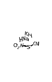 N#CS[N+](=O)[O-].[KH].[NaH]